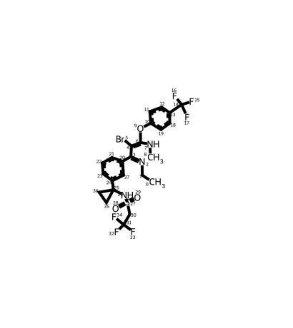 CC/N=C(/C(Br)=C(\NC)Oc1ccc(C(F)(F)F)cc1)c1cccc(C2(NS(=O)(=O)CC(F)(F)F)CC2)c1